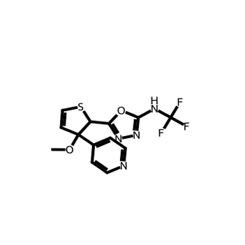 COC1(c2ccncc2)C=CSC1c1nnc(NC(F)(F)F)o1